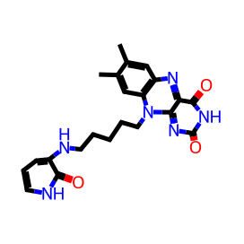 Cc1cc2nc3c(=O)[nH]c(=O)nc-3n(CCCCCNc3ccc[nH]c3=O)c2cc1C